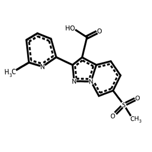 Cc1cccc(-c2nn3cc(S(C)(=O)=O)ccc3c2C(=O)O)n1